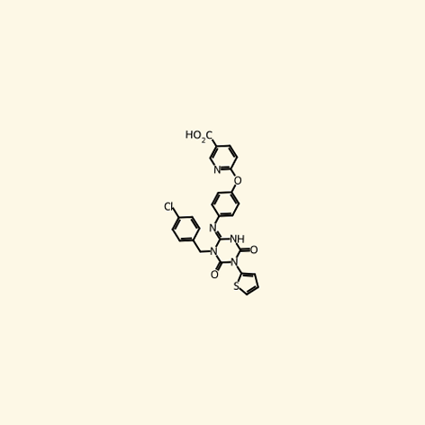 O=C(O)c1ccc(Oc2ccc(/N=c3\[nH]c(=O)n(-c4cccs4)c(=O)n3Cc3ccc(Cl)cc3)cc2)nc1